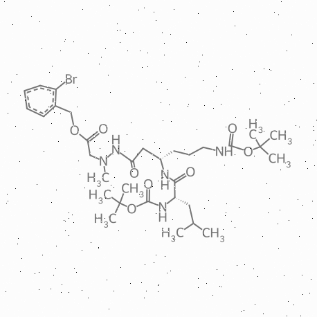 CC(C)C[C@H](NC(=O)OC(C)(C)C)C(=O)N[C@@H](CCCNC(=O)OC(C)(C)C)CC(=O)NN(C)CC(=O)OCc1ccccc1Br